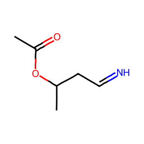 CC(=O)OC(C)CC=N